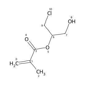 C=C(C)C(=O)OC(CO)CCl